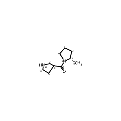 C[C@H]1CCCN1C(=O)C1CCNC1